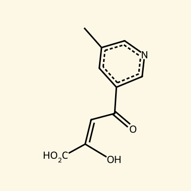 Cc1cncc(C(=O)C=C(O)C(=O)O)c1